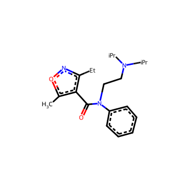 CCc1noc(C)c1C(=O)N(CCN(C(C)C)C(C)C)c1ccccc1